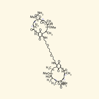 CO[C@H]1/C=C\C=C(/C)C(=O)NC2=CC(=O)C(NCCCOCCCCOCCCNC3=C4C[C@@H](C)C[C@H](OC)[C@H](O)[C@@H](C)/C=C(\C)[C@H](OC(N)=O)[C@@H](OC)/C=C\C=C(/C)C(=O)NC(=CC3=O)C4=O)=C(C[C@@H](C)C[C@H](OC)[C@H](O)[C@@H](C)/C=C(\C)[C@@H]1OC(N)=O)C2=O